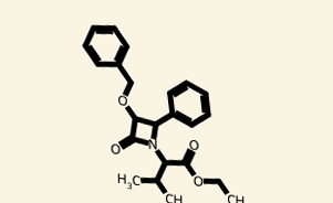 CCOC(=O)C(C(C)C)N1C(=O)C(OCc2ccccc2)C1c1ccccc1